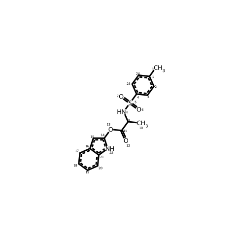 Cc1ccc(S(=O)(=O)NC(C)C(=O)Oc2cc3ccccc3[nH]2)cc1